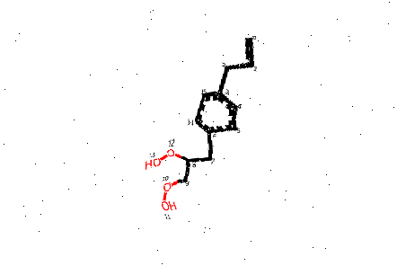 C=CCc1ccc(CC(COO)OO)cc1